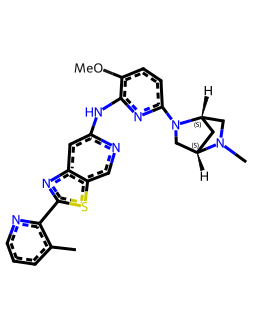 COc1ccc(N2C[C@@H]3C[C@H]2CN3C)nc1Nc1cc2nc(-c3ncccc3C)sc2cn1